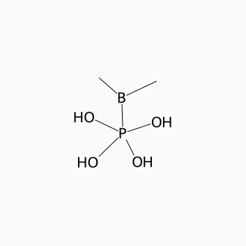 CB(C)P(O)(O)(O)O